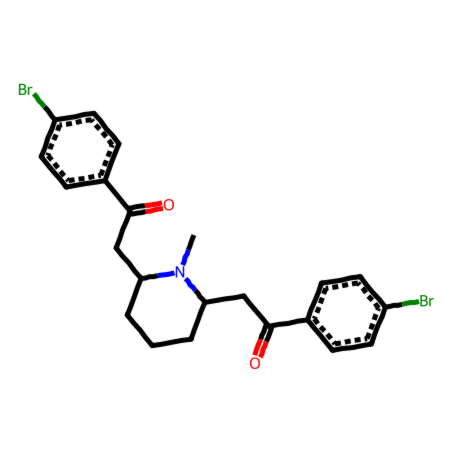 CN1C(CC(=O)c2ccc(Br)cc2)CCCC1CC(=O)c1ccc(Br)cc1